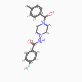 Cc1ccc(C(=O)N2CCN(NC(=O)c3ccc(F)cc3)CC2)cc1